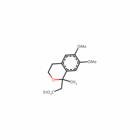 CCOC(=O)CC1(C)OCCc2cc(OC)c(OC)cc21